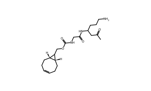 CC(=O)CC(CCCN)NC(=O)CNC(=O)OCC1[C@H]2CC/C=C\CC[C@@H]12